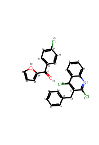 Clc1nc2ccccc2c(Cl)c1Cc1ccccc1.O=C(c1ccc(Cl)cc1)c1ccco1